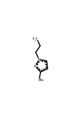 CC(C)(C)c1ccn(CCC(F)(F)F)n1